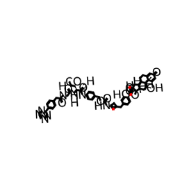 C[C@]12C=CC(=O)C=C1CC[C@@H]1[C@@H]2[C@@H](O)C[C@@]2(C)[C@H]1C[C@H]1O[C@@H](c3ccc(CC45CC(NC(=O)OCc6ccc(NC(=O)[C@H](CCC(=O)O)NC(=O)CNC(=O)Cc7ccc(-c8nncnn8)cc7)cc6)(C4)C5)cc3)O[C@]12C(=O)CO